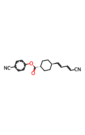 N#CC=CC=C[C@H]1CC[C@H](C(=O)Oc2ccc(C#N)cc2)CC1